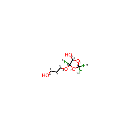 OCCCOC1(F)OC(F)(F)OC1O